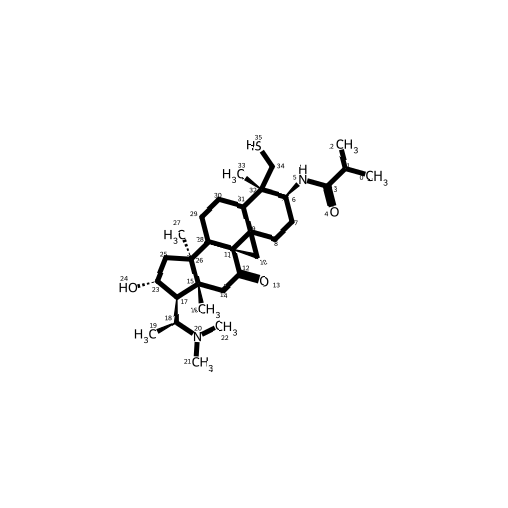 CC(C)C(=O)N[C@H]1CCC23C[C@]24C(=O)C[C@]2(C)[C@@H]([C@H](C)N(C)C)[C@H](O)C[C@@]2(C)C4CCC3[C@]1(C)CS